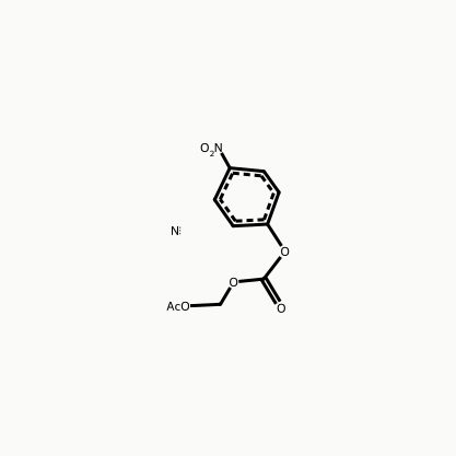 CC(=O)OCOC(=O)Oc1ccc([N+](=O)[O-])cc1.[N]